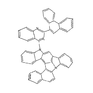 c1ccc2c(c1)cc(-c1nc(-n3c4ccccc4c4c5c6c7ccccc7ccc6n6c7ccccc7c(cc43)c56)c3ccccc3n1)c1ccccc12